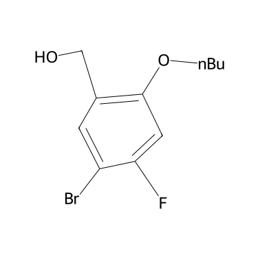 CCCCOc1cc(F)c(Br)cc1CO